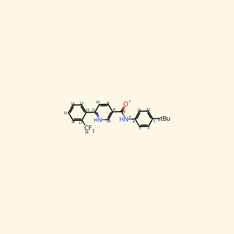 CC(C)(C)c1ccc(NC(=O)c2ccc(-c3ccccc3C(F)(F)F)nc2)cc1